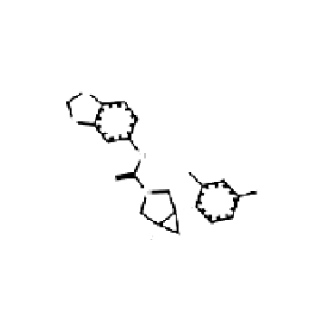 Fc1ccc([C@]23C[C@H]2CN(C(=S)Nc2ccc4c(c2)OCO4)C3)c(Cl)c1